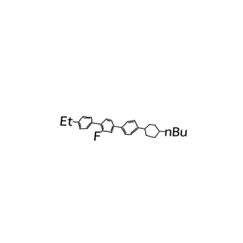 CCCCC1CCC(c2ccc(-c3ccc(-c4ccc(CC)cc4)c(F)c3)cc2)CC1